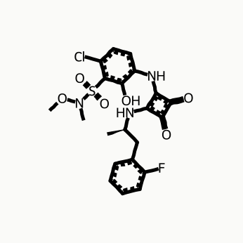 CON(C)S(=O)(=O)c1c(Cl)ccc(Nc2c(N[C@H](C)Cc3ccccc3F)c(=O)c2=O)c1O